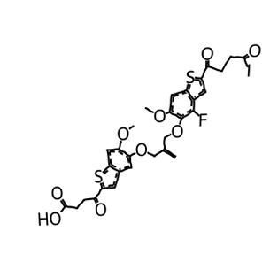 C=C(COc1cc2cc(C(=O)CCC(=O)O)sc2cc1OC)COc1c(OC)cc2sc(C(=O)CCC(=O)I)cc2c1F